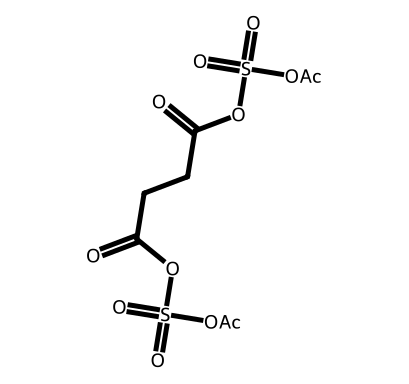 CC(=O)OS(=O)(=O)OC(=O)CCC(=O)OS(=O)(=O)OC(C)=O